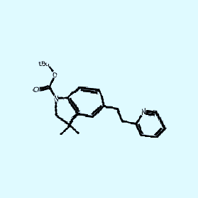 CC(C)(C)OC(=O)N1CC(C)(C)c2cc(CCc3ccccn3)ccc21